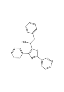 OC(Cc1ccccc1)c1sc(-c2cccnc2)nc1-c1ccccc1